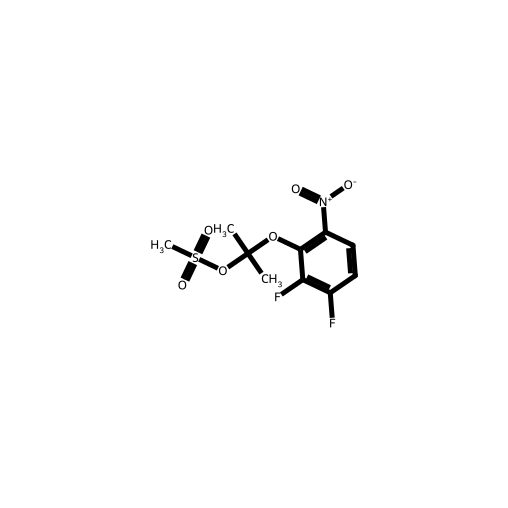 CC(C)(Oc1c([N+](=O)[O-])ccc(F)c1F)OS(C)(=O)=O